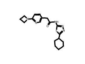 O=C(Cc1ccc(N2CCC2)nc1)Nc1nnc(C2CCCCC2)s1